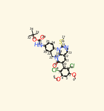 COc1cc(OC)c(Cl)c(-c2cc3cnc(SC)nc3n(Cc3cccc(NC(=O)OC(C)(C)C)c3)c2=O)c1Cl